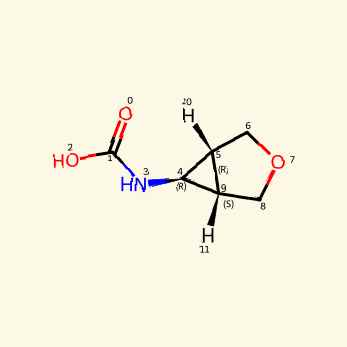 O=C(O)N[C@H]1[C@@H]2COC[C@@H]21